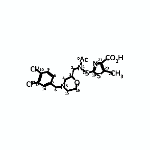 CC(=O)N(C[C@@H]1CN(Cc2ccc(Cl)c(Cl)c2)CCO1)Sc1nc(C(=O)O)c(C)s1